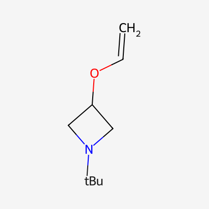 C=COC1CN(C(C)(C)C)C1